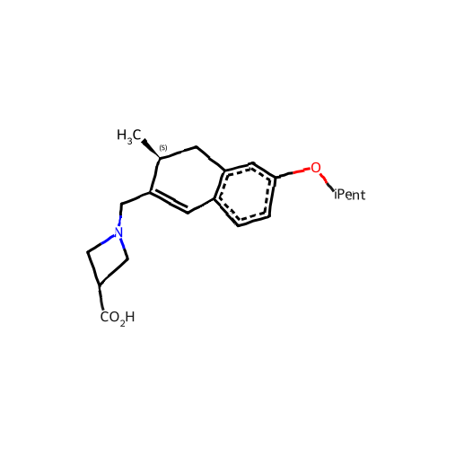 CCCC(C)Oc1ccc2c(c1)C[C@H](C)C(CN1CC(C(=O)O)C1)=C2